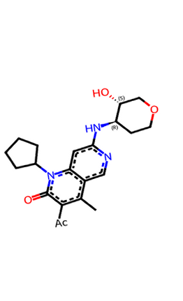 CC(=O)c1c(C)c2cnc(N[C@@H]3CCOC[C@H]3O)cc2n(C2CCCC2)c1=O